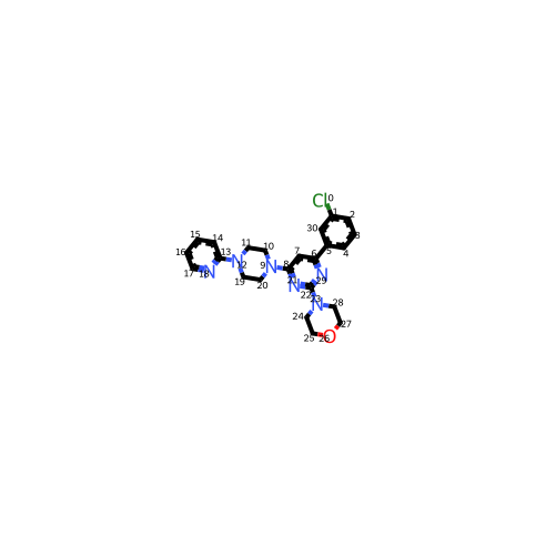 Clc1cccc(-c2cc(N3CCN(c4ccccn4)CC3)nc(N3CCOCC3)n2)c1